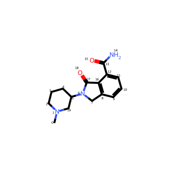 CN1CCCC(N2Cc3cccc(C(N)=O)c3C2=O)C1